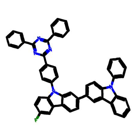 Fc1ccc2c(c1)c1ccc(-c3ccc4c(c3)c3ccccc3n4-c3ccccc3)cc1n2-c1ccc(-c2nc(-c3ccccc3)nc(-c3ccccc3)n2)cc1